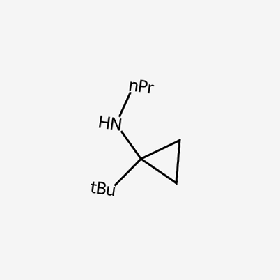 CCCNC1(C(C)(C)C)CC1